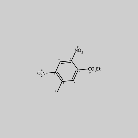 CCOC(=O)c1cc(C)c([N+](=O)[O-])cc1[N+](=O)[O-]